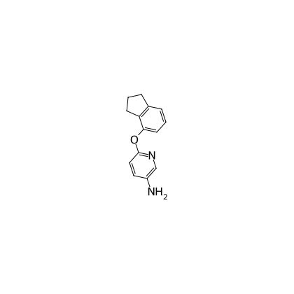 Nc1ccc(Oc2cccc3c2CCC3)nc1